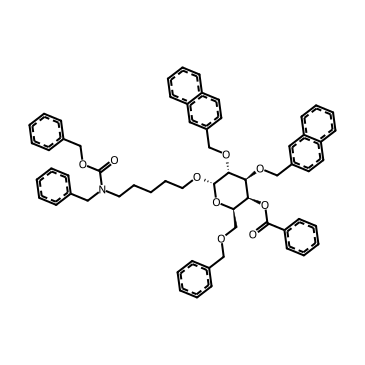 O=C(O[C@@H]1[C@H](OCc2ccc3ccccc3c2)[C@@H](OCc2ccc3ccccc3c2)[C@@H](OCCCCCN(Cc2ccccc2)C(=O)OCc2ccccc2)O[C@@H]1COCc1ccccc1)c1ccccc1